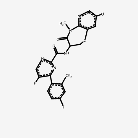 Cc1cc(F)ccc1-c1nc(C(=O)NC2COc3cc(Cl)cnc3N(C)C2=O)ncc1F